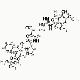 COc1cc(C)c(S(=O)(=O)NC(=N)NCCCC(NC(=O)[C@@H]2CCN3CC[C@](Cc4ccccc4)(NC(=O)OC(C)(C)C)C(=O)N23)C(=O)CCl)c(C)c1C